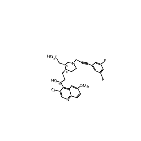 COc1ccc2ncc(Cl)c([C@@H](O)CC[C@@H]3CCN(CC#Cc4cc(F)cc(F)c4)C[C@@H]3CC(=O)O)c2c1